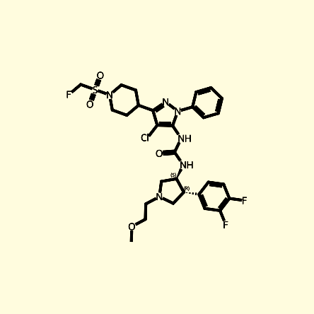 COCCN1C[C@@H](NC(=O)Nc2c(Cl)c(C3CCN(S(=O)(=O)CF)CC3)nn2-c2ccccc2)[C@H](c2ccc(F)c(F)c2)C1